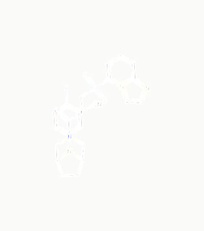 N#Cc1cc(N2C3CCC2CN(C(=O)CCS(=O)(=O)c2cccc4nccn24)C3)ccc1F